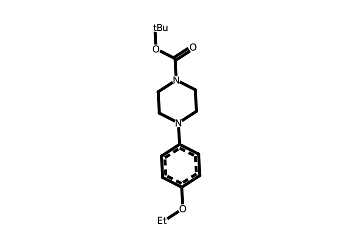 CCOc1ccc(N2CCN(C(=O)OC(C)(C)C)CC2)cc1